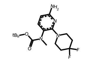 CN(C(=O)OC(C)(C)C)c1ccc(N)nc1N1CCC(F)(F)CC1